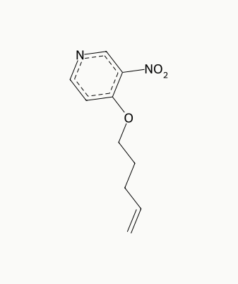 C=CCCCOc1ccncc1[N+](=O)[O-]